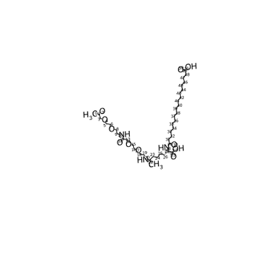 CC(=O)COCCOCCNC(=O)COCCOCCNC(C)CCCC[C@H](NC(=O)CCCCCCCCCCCCCCCCCCC(=O)O)C(=O)O